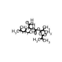 CC[C@@H](CC(C)C)C[C@@H](CNC(=O)O[C@@H](OC(=O)C(C)C)C(C)C)C(=O)O